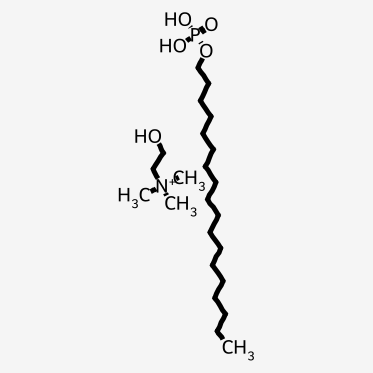 CCCCCCCCCCCCCCCCCCOP(=O)(O)O.C[N+](C)(C)CCO